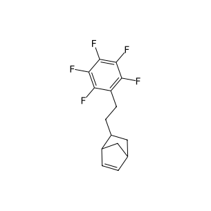 Fc1c(F)c(F)c(CCC2CC3C=CC2C3)c(F)c1F